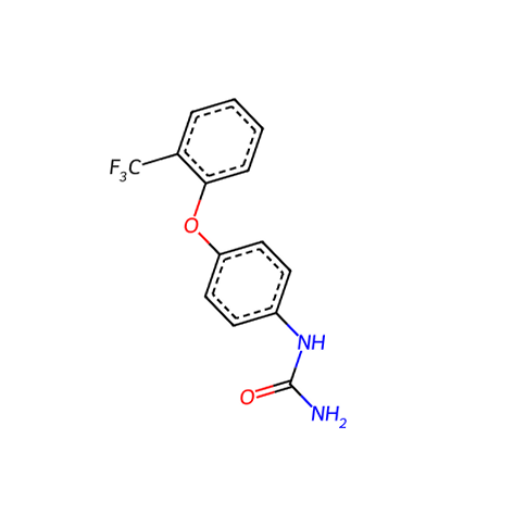 NC(=O)Nc1ccc(Oc2ccccc2C(F)(F)F)cc1